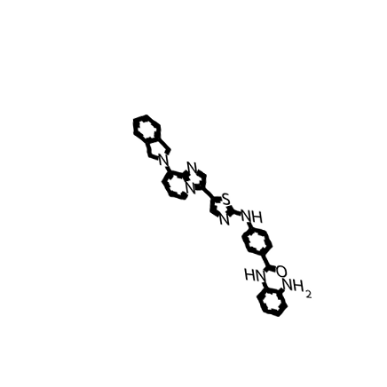 Nc1ccccc1NC(=O)c1ccc(Nc2ncc(-c3cnc4c(N5Cc6ccccc6C5)cccn34)s2)cc1